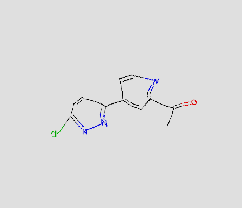 CC(=O)c1cc(-c2ccc(Cl)nn2)ccn1